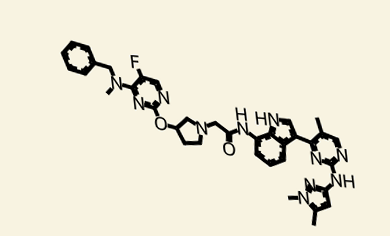 Cc1cnc(Nc2cc(C)n(C)n2)nc1-c1c[nH]c2c(NC(=O)CN3CCC(Oc4ncc(F)c(N(C)Cc5ccccc5)n4)C3)cccc12